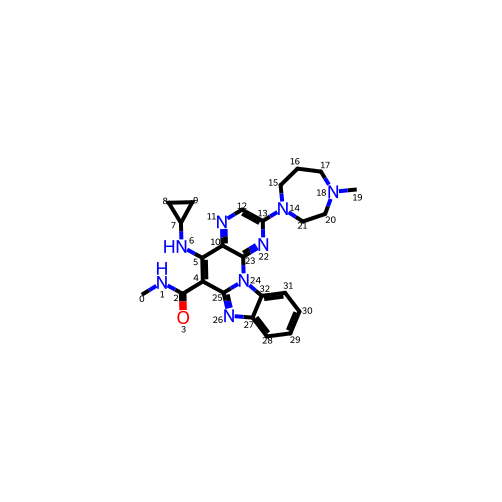 CNC(=O)c1c(NC2CC2)c2ncc(N3CCCN(C)CC3)nc2n2c1nc1ccccc12